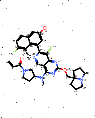 C=CC(=O)N1CCC(N(C)c2nc(OCC34CCCN3CCC4)nc3c(F)c(-c4cc(O)cc5ccc(F)c(CC)c45)ncc23)C1